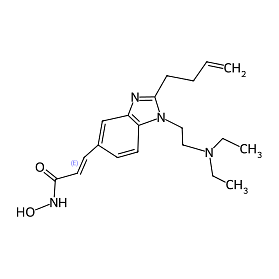 C=CCCc1nc2cc(/C=C/C(=O)NO)ccc2n1CCN(CC)CC